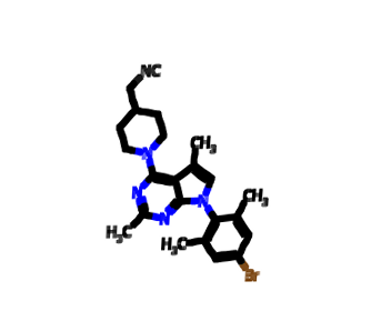 [C-]#[N+]CC1CCN(c2nc(C)nc3c2c(C)cn3-c2c(C)cc(Br)cc2C)CC1